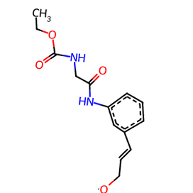 CCOC(=O)NCC(=O)Nc1cccc(/C=C/C[O])c1